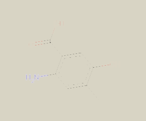 Cc1cc(N)c(C(=O)O)cc1O